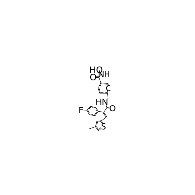 Cc1csc(C=C(C(=O)NCc2ccc(C(=O)NO)cc2)c2ccc(F)cc2)c1